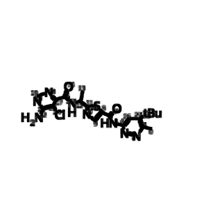 Cc1nnc(NC(=O)c2cnc(C(C)NC(=O)c3ncnc(N)c3Cl)s2)cc1C(C)(C)C